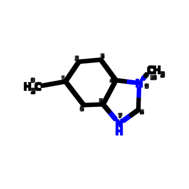 CC1CCC2C(C1)NCN2C